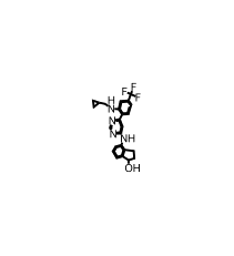 OC1CCc2c(Nc3cc(-c4ccc(C(F)(F)F)cc4NCC4CC4)ncn3)cccc21